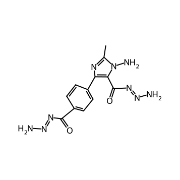 Cc1nc(-c2ccc(C(=O)N=NN)cc2)c(C(=O)N=NN)n1N